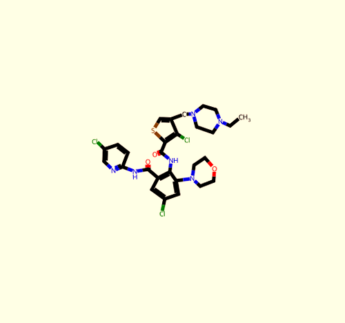 CCN1CCN(Cc2csc(C(=O)Nc3c(C(=O)Nc4ccc(Cl)cn4)cc(Cl)cc3N3CCOCC3)c2Cl)CC1